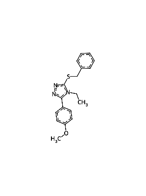 CCn1c(SCc2ccccc2)nnc1-c1ccc(OC)cc1